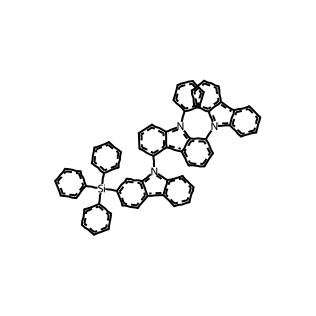 c1ccc(-n2c3cccc(-n4c5ccccc5c5ccc([Si](c6ccccc6)(c6ccccc6)c6ccccc6)cc54)c3c3cccc(-n4c5ccccc5c5ccccc54)c32)cc1